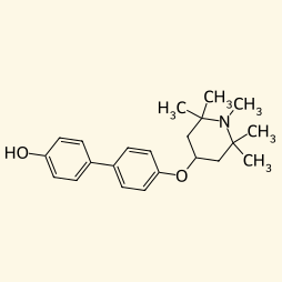 CN1C(C)(C)CC(Oc2ccc(-c3ccc(O)cc3)cc2)CC1(C)C